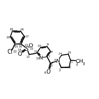 CC1CCN(C(=O)c2cccc(CS(=O)(=O)c3ccccc3Cl)n2)CC1